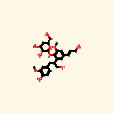 COc1cc(CC(CO)c2cc(/C=C/CO)cc(OC)c2O[C@@H]2O[C@H](CO)C[C@H](O)[C@H]2O)ccc1O